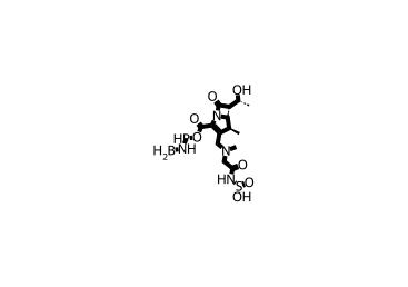 BNPOC(=O)C1=C(CN(C)CC(=O)NS(=O)O)[C@H](C)C2[C@@H]([C@@H](C)O)C(=O)N12